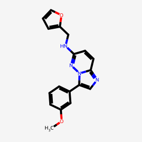 COc1cccc(-c2cnc3ccc(NCc4ccco4)nn23)c1